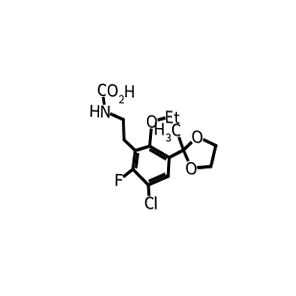 CCOc1c(C2(C)OCCO2)cc(Cl)c(F)c1CCNC(=O)O